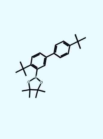 CC(C)(C)c1ccc(-c2ccc(C(C)(C)C)c(B3OC(C)(C)C(C)(C)O3)c2)cc1